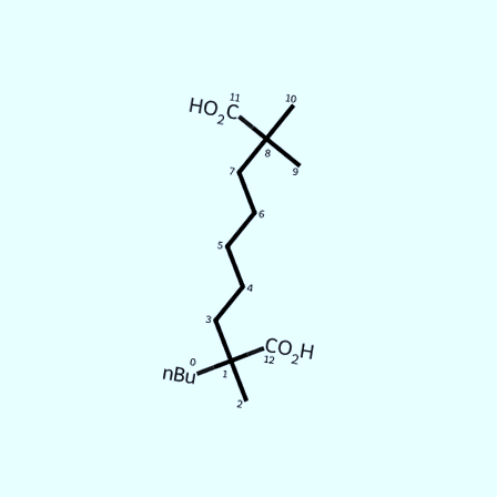 CCCCC(C)(CCCCCC(C)(C)C(=O)O)C(=O)O